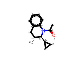 CC(=O)N1c2ccccc2C[C@@H](C)[C@@H]1C1CC1